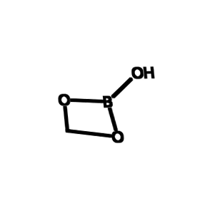 OB1OCO1